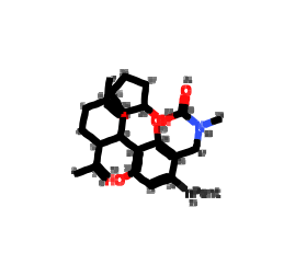 C=C(C)C1CCC(C)=CC1c1c(O)cc(CCCCC)c(CN(C)C(=O)OC2CCCC2)c1O